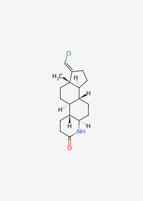 C[C@]12CC[C@@H]3[C@H]4CCC(=O)N[C@@H]4CC[C@H]3[C@@H]1CC/C2=C\Cl